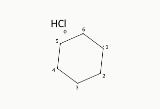 Cl.[CH]1CCCCC1